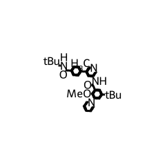 COc1c(C(=O)Nc2cnc(C)c(-c3ccc(C(=O)NCC(C)(C)C)cc3)c2)cc(C(C)(C)C)cc1N1C=C=CC=C1